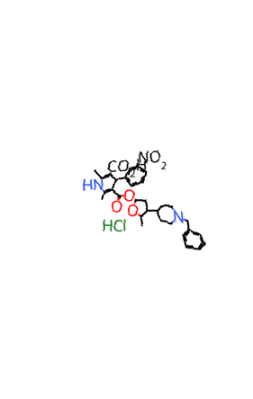 CC1=C(C(=O)O)C(c2cccc([N+](=O)[O-])c2)C(C(=O)OC2CC(C3CCN(Cc4ccccc4)CC3)C(C)O2)=C(C)N1.Cl